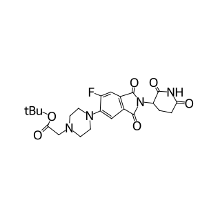 CC(C)(C)OC(=O)CN1CCN(c2cc3c(cc2F)C(=O)N(C2CCC(=O)NC2=O)C3=O)CC1